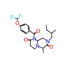 CCC(C)CN1CC2N(C(=O)c3ccc(OC(F)F)cc3)C(=O)CCN2C(C)C1=O